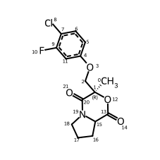 C[C@]1(COc2ccc(Cl)c(F)c2)OC(=O)C2CCCN2C1=O